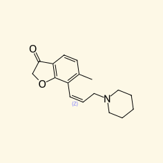 Cc1ccc2c(c1/C=C\CN1CCCCC1)OCC2=O